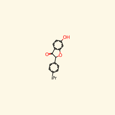 CC(C)c1ccc(C2Oc3cc(O)ccc3C2=O)cc1